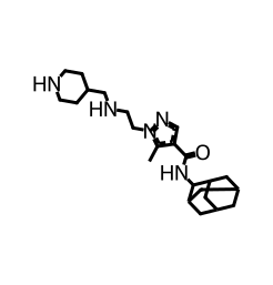 Cc1c(C(=O)NC2C3CC4CC(C3)CC2C4)cnn1CCNCC1CCNCC1